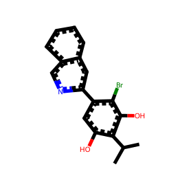 CC(C)c1c(O)cc(-c2cc3ccccc3cn2)c(Br)c1O